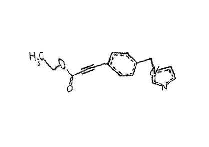 CCOC(=O)C#Cc1ccc(Cn2ccnc2)cc1